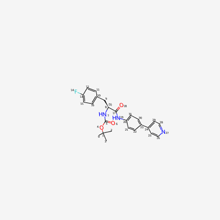 CC(C)(C)OC(=O)N[C@@H](Cc1ccc(F)cc1)C(=O)Nc1ccc(-c2ccncc2)cc1